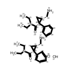 CCN(CC)C(=O)[C@]1(c2ccccc2)C[C@@H]1CN.CCN(CC)C(=O)[C@]1(c2ccccc2)C[C@@H]1CN.Cl.Cl